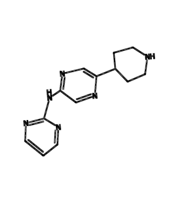 c1cnc(Nc2cnc(C3CCNCC3)cn2)nc1